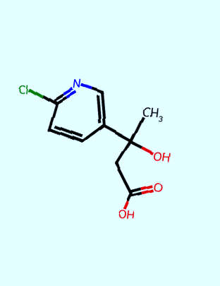 CC(O)(CC(=O)O)c1ccc(Cl)nc1